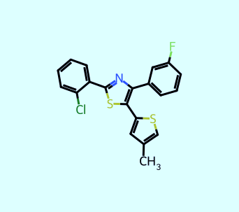 Cc1csc(-c2sc(-c3ccccc3Cl)nc2-c2cccc(F)c2)c1